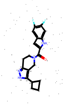 O=C(c1cc2cc(F)c(F)cc2[nH]1)N1CCc2n[nH]c(C3CCC3)c2C1